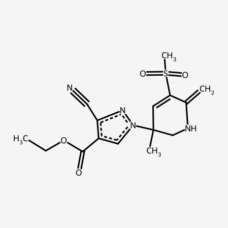 C=C1NCC(C)(n2cc(C(=O)OCC)c(C#N)n2)C=C1S(C)(=O)=O